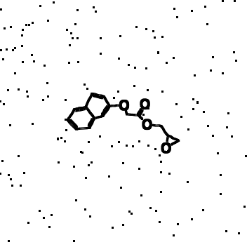 O=C(COc1ccc2ccccc2c1)OCC1CO1